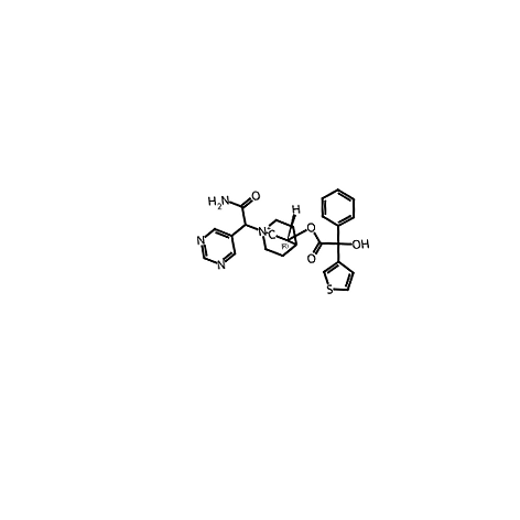 NC(=O)C(c1cncnc1)[N+]12CCC(CC1)[C@@H](OC(=O)C(O)(c1ccccc1)c1ccsc1)C2